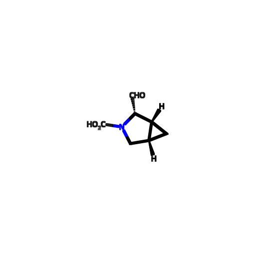 O=C[C@@H]1[C@@H]2C[C@@H]2CN1C(=O)O